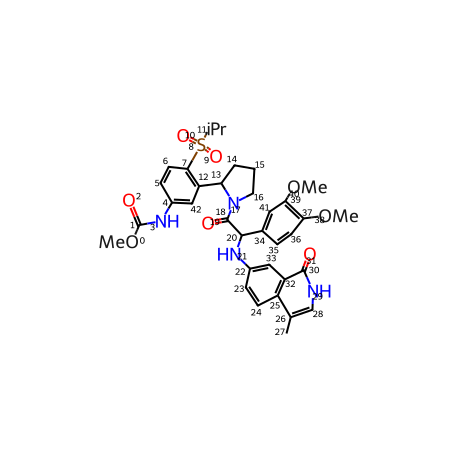 COC(=O)Nc1ccc(S(=O)(=O)C(C)C)c(C2CCCN2C(=O)C(Nc2ccc3c(C)c[nH]c(=O)c3c2)c2ccc(OC)c(OC)c2)c1